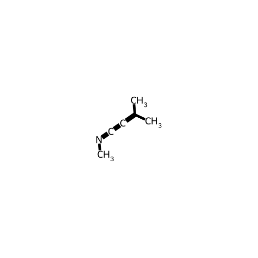 CN=C=C=C(C)C